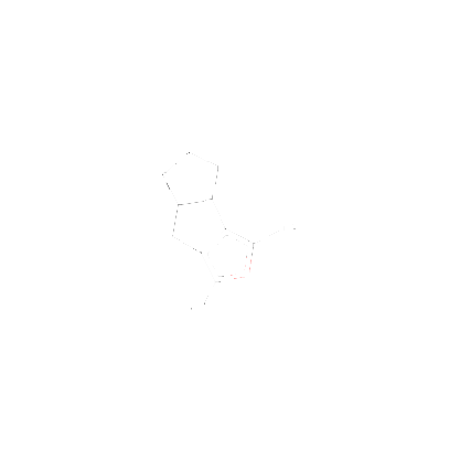 CC(C)(C)c1oc(C(C)(C)C)c2c1CC1CCCC21